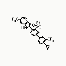 CCS(=O)(=O)c1cc(-c2ccc(C3CC3)c(C(F)(F)F)c2)cnc1-c1cc2ncc(C(F)(F)F)cc2[nH]1